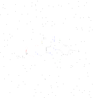 CNC(=O)ON=Cc1nn(-c2c(Cl)cc(C(F)(F)F)cc2Cl)c(N)c1[S+](C)[O-]